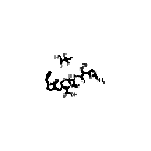 C#CCN1CCC(=CC2=C(C(=O)O)N3C(=O)[C@@H](NC(=O)C(=NO)c4csc(N)n4)[C@H]3SC2)C1=O.O=C(O)C(F)(F)F